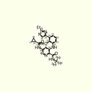 [2H]C([2H])([2H])NC(=O)c1nnc(NC(=O)C2CC2)cc1Nc1cccc(-c2cnn(CC)n2)c1OC